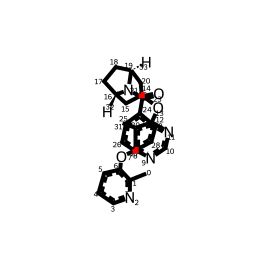 Cc1ncccc1Oc1ncnc(OC2C[C@@H]3CC[C@@H](C2)N3C(=O)c2ccccc2)c1C